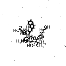 CC(C)C(NC(=O)[C@H](CO)NC(=O)C(CC(N)=O)NC(=O)C(Cc1ccc2ccccc2c1)NC(=O)C[C@H](N)C(=O)O)C(=O)NCC(=O)NCCCO